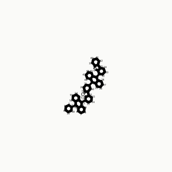 c1ccc(-c2c3ccccc3c(-c3cccc4c3oc3ccc(-c5c6ccccc6c(-c6cccc7c6sc6ccccc67)c6ccccc56)cc34)c3ccccc23)cc1